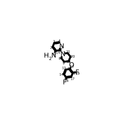 Nc1cccnc1N1CCC(Oc2ccc(F)cc2F)CC1